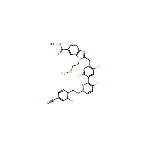 COCCn1c(Cc2cc(F)c(-c3nc(OCc4ccc(C#N)cc4F)ccc3F)cc2F)nc2ccc(C(=O)OC)cc21